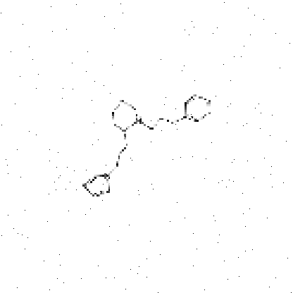 c1ccc(CCCN2CCCCC2CCCn2ccnc2)cc1